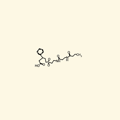 CCCC(=O)NCCC(=O)NCCS(=O)(=O)CCC(CC(=O)O)c1ccccc1